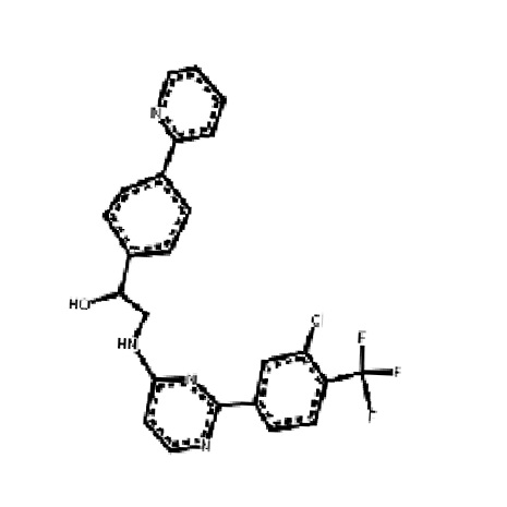 OC(CNc1ccnc(-c2ccc(C(F)(F)F)c(Cl)c2)n1)c1ccc(-c2ccccn2)cc1